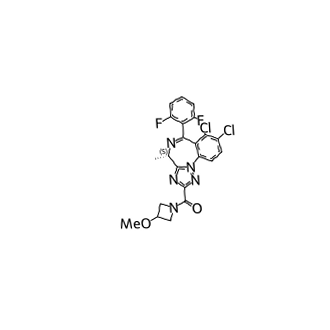 COC1CN(C(=O)c2nc3n(n2)-c2ccc(Cl)c(Cl)c2C(c2c(F)cccc2F)=N[C@H]3C)C1